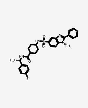 C[C@@H](NC(=O)C1CCC(NS(=O)(=O)c2ccc3c(c2)nc(-c2ccccc2)n3C)CC1)c1ccc(F)cc1